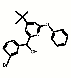 CC(C)(C)c1cc(Oc2ccccc2)nc(C(O)c2cccc(Br)c2)c1